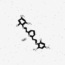 Cc1cc(C)c(N=CCc2cccc(CC=Nc3c(C)cc(C)cc3Cl)n2)c(Cl)c1.[Cl-].[Cl-].[Fe+2]